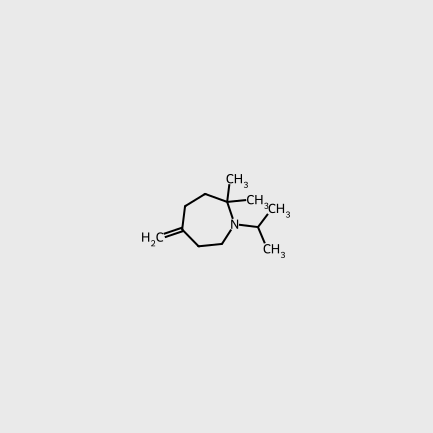 C=C1CCN(C(C)C)C(C)(C)CC1